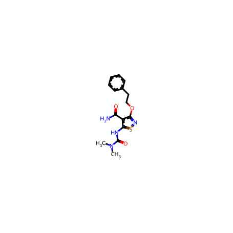 CN(C)C(=O)Nc1snc(OCCc2ccccc2)c1C(N)=O